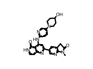 CN1C(=O)Cc2cc(-c3cc(Nc4ccc(N5CCC(O)CC5)cn4)c4c(=O)[nH]ccc4n3)cnc21